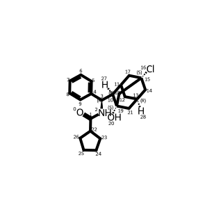 O=C(N[C@@H](c1ccccc1)[C@H]1C2C[C@H]3C[C@](Cl)(C2)C[C@@]1(O)C3)C1CCCC1